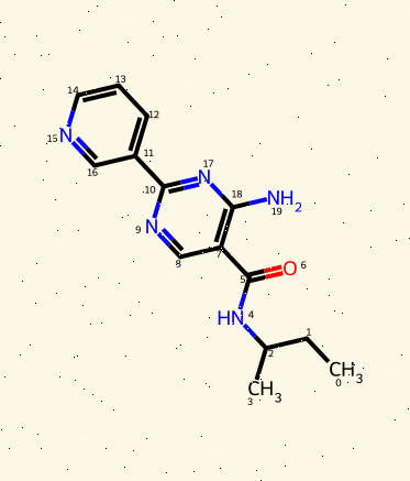 CCC(C)NC(=O)c1cnc(-c2cccnc2)nc1N